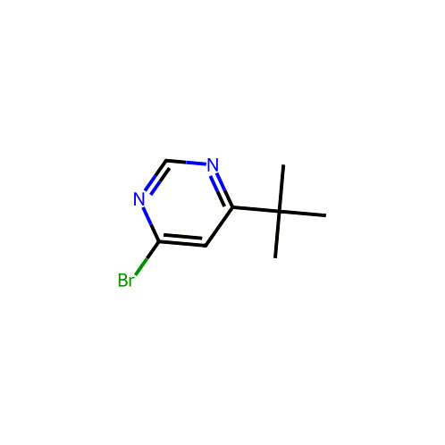 CC(C)(C)c1cc(Br)ncn1